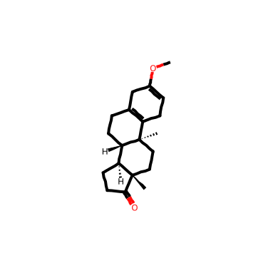 COC1=CCC2=C(CC[C@H]3[C@@H]4CCC(=O)[C@@]4(C)CC[C@]23C)C1